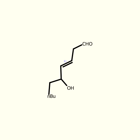 CCCCCC(O)/C=C/CC=O